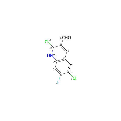 O=CC1=Cc2cc(Cl)c(F)cc2NC1Cl